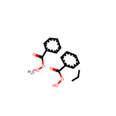 C.CCC.O=C(OO)c1ccccc1.O=C(OO)c1ccccc1